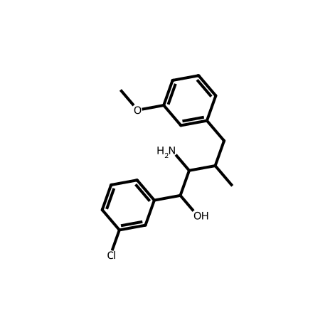 COc1cccc(CC(C)C(N)C(O)c2cccc(Cl)c2)c1